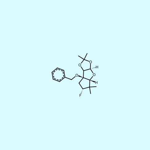 CC1(C)OC2[C@H](O[C@@H]3C(C)(C)[C@H](F)C[C@]23OCc2ccccc2)O1